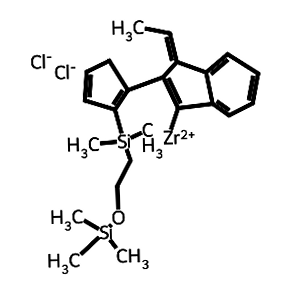 CC=C1C(C2=C([Si](C)(C)CCO[Si](C)(C)C)C=CC2)=[C]([Zr+2])c2ccccc21.[Cl-].[Cl-]